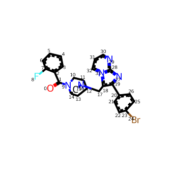 O=C(c1ccccc1F)N1CC2CCC1CN2Cc1c(-c2ccc(Br)cc2)nc2ncccn12